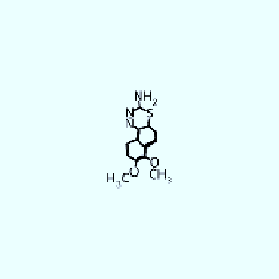 COc1ccc2c(c1OC)=CCC1SC(N)N=NC=21